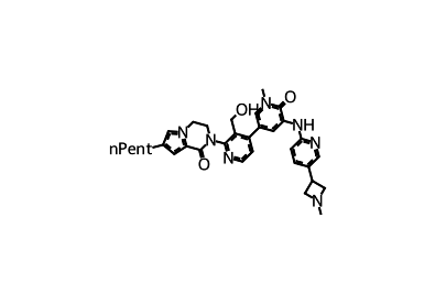 CCCCCc1cc2n(c1)CCN(c1nccc(-c3cc(Nc4ccc(C5CN(C)C5)cn4)c(=O)n(C)c3)c1CO)C2=O